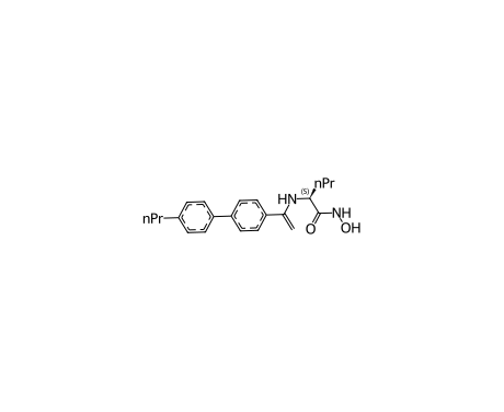 C=C(N[C@@H](CCC)C(=O)NO)c1ccc(-c2ccc(CCC)cc2)cc1